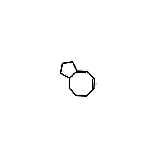 C1=C\CCCC2CCC/C2=C/1